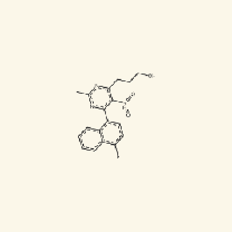 Cc1nc(CCCO)c([SH](=O)=O)c(-c2ccc(F)c3ccccc23)n1